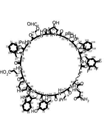 CCCC[C@H]1C(=O)N2C[C@H](O)C[C@@H]2C(=O)N[C@@H](COC=O)C(=O)N[C@@H](C(C)C)C(=O)N(C)[C@@H](Cc2ccccc2)C(=O)N[C@@H](CCC(=O)O)C(=O)N2CCNC[C@@H]2C(=O)N[C@@H](Cc2c[nH]c3ccccc23)C(=O)N[C@@H](Cc2ccc(O)cc2)C(=O)N[C@@H](CC(C)C)C(=O)N[C@H](C(=O)NCC(N)=O)CSCC(=O)N[C@@H](Cc2cc(F)c(F)c(F)c2)C(=O)N(C)[C@@H](Cc2ccccc2)C(=O)N1C